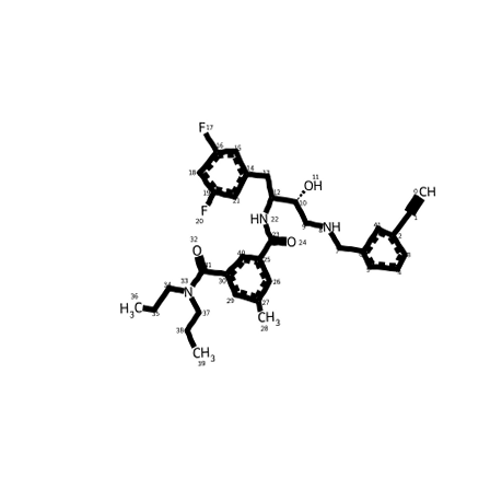 C#Cc1cccc(CNC[C@@H](O)C(Cc2cc(F)cc(F)c2)NC(=O)c2cc(C)cc(C(=O)N(CCC)CCC)c2)c1